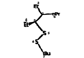 CCCC(CC)[C@H](CC)SSC(C)(C)C